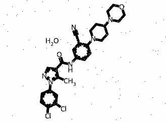 Cc1c(C(=O)Nc2ccc(N3CCC(N4CCOCC4)CC3)c(C#N)c2)cnn1-c1ccc(Cl)c(Cl)c1.O